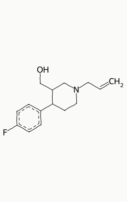 C=CCN1CCC(c2ccc(F)cc2)C(CO)C1